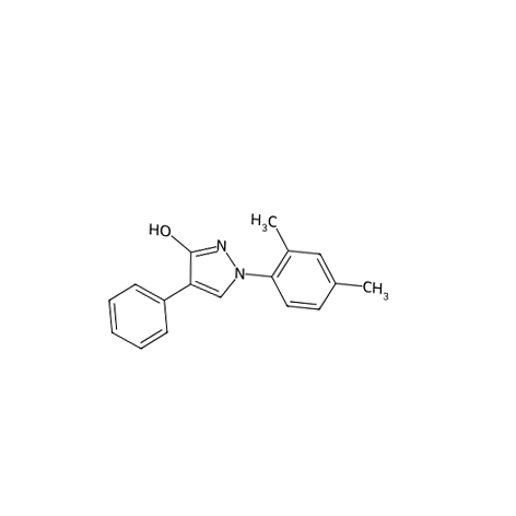 Cc1ccc(-n2cc(-c3ccccc3)c(O)n2)c(C)c1